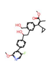 COC(=O)C(C)=C(c1ccc(CO)c(CC(O)c2ccc(-c3cc(OC)ncc3F)cc2)c1)C1CC1